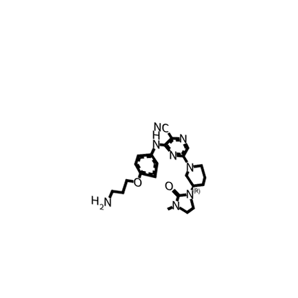 CN1CCN([C@@H]2CCCN(c3cnc(C#N)c(Nc4ccc(OCCCN)cc4)n3)C2)C1=O